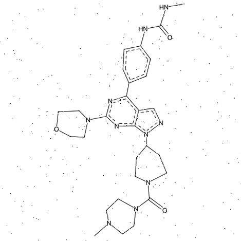 CNC(=O)Nc1ccc(-c2nc(N3CCOCC3)nc3c2cnn3C2CCN(C(=O)N3CCN(C)CC3)CC2)cc1